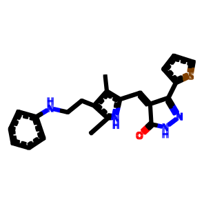 Cc1[nH]c(C=C2C(=O)NN=C2c2cccs2)c(C)c1CCNc1ccccc1